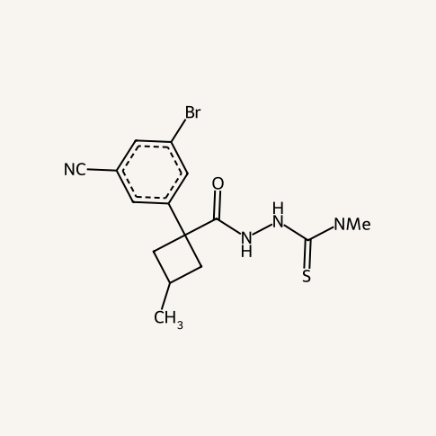 CNC(=S)NNC(=O)C1(c2cc(Br)cc(C#N)c2)CC(C)C1